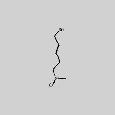 CCN(C)CCCCCS